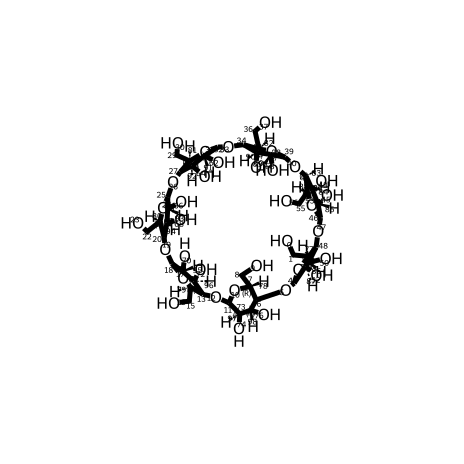 OC[C@H]1OC2OC3[C@@H](CO)OC(OC4[C@@H](CO)OC(OC5[C@@H](CO)OC(OC6[C@@H](CO)OC(OC7[C@@H](CO)OC(O[C@H]8[C@H](O)[C@H](O)C(OC1[C@H](O)[C@H]2O)O[C@@H]8CO)[C@H](O)[C@H]7O)[C@H](O)[C@H]6O)[C@H](O)[C@H]5O)[C@H](O)[C@H]4O)[C@H](O)[C@H]3O